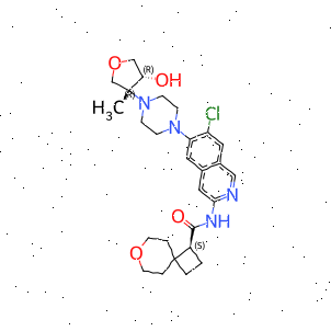 C[C@@]1(N2CCN(c3cc4cc(NC(=O)[C@H]5CCC56CCOCC6)ncc4cc3Cl)CC2)COC[C@@H]1O